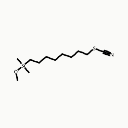 CO[Si](C)(C)CCCCCCCCSC#N